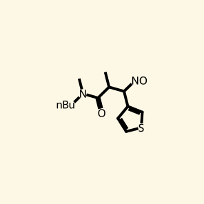 CCCCN(C)C(=O)C(C)C(N=O)c1ccsc1